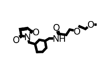 COCCOCCC(=O)NCC1CCCC(CN2C(=O)C=CC2=O)C1